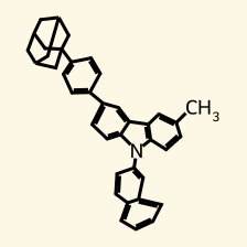 Cc1ccc2c(c1)c1cc(-c3ccc(C45CC6CC(CC(C6)C4)C5)cc3)ccc1n2-c1ccc2ccccc2c1